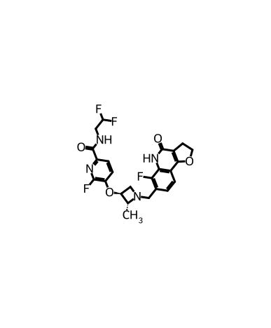 C[C@@H]1[C@@H](Oc2ccc(C(=O)NCC(F)F)nc2F)CN1Cc1ccc2c3c(c(=O)[nH]c2c1F)CCO3